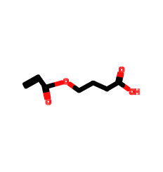 C=CC(=O)OCC[CH]C(=O)O